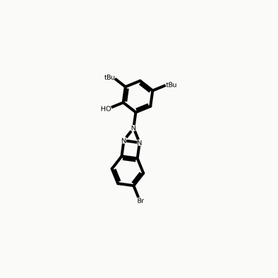 CC(C)(C)c1cc(-n2n3c4ccc(Br)cc4n23)c(O)c(C(C)(C)C)c1